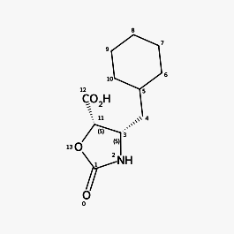 O=C1N[C@@H](CC2CCCCC2)[C@@H](C(=O)O)O1